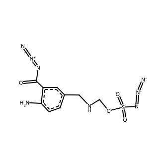 [N-]=[N+]=NC(=O)c1cc(CNCOS(=O)(=O)N=[N+]=[N-])ccc1N